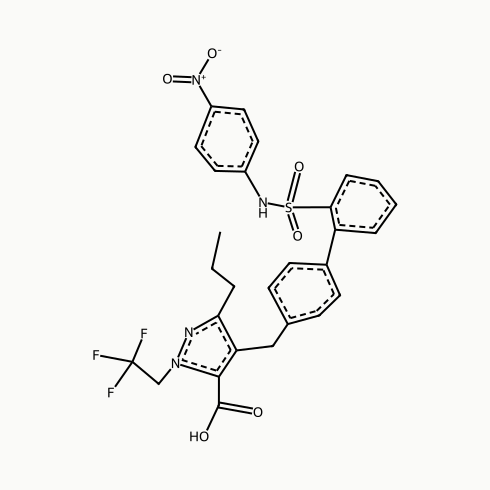 CCCc1nn(CC(F)(F)F)c(C(=O)O)c1Cc1ccc(-c2ccccc2S(=O)(=O)Nc2ccc([N+](=O)[O-])cc2)cc1